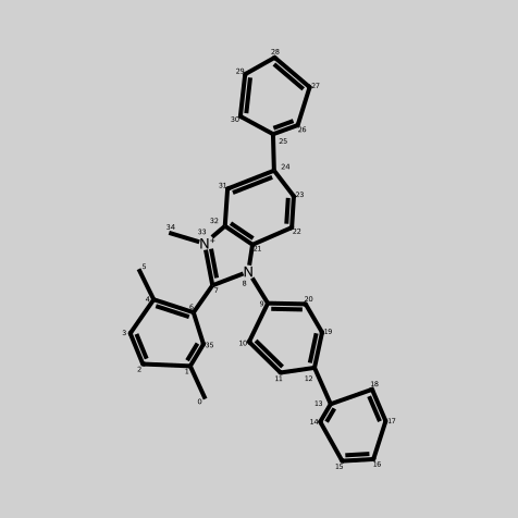 Cc1ccc(C)c(-c2n(-c3ccc(-c4ccccc4)cc3)c3ccc(-c4ccccc4)cc3[n+]2C)c1